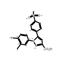 CCOC(=O)c1cc(-c2ccc(S(C)(=O)=O)cc2)n(-c2ccc(F)c(C)c2)n1